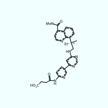 CC[C@](C)(CNc1cc(-c2ccc(NC(=O)CCC(=O)O)nc2)ncn1)c1cccc2c(C(=O)NC)ccnc12